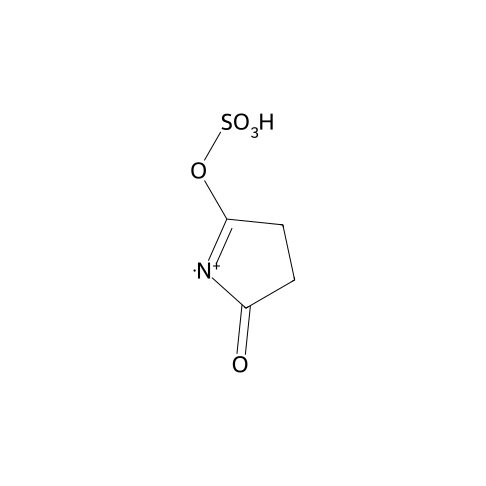 O=C1CCC(OS(=O)(=O)O)=[N+]1